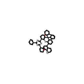 c1ccc(-c2nc(-c3ccccc3)nc(-c3cccc4c3Sc3c(-c5cccc6ncccc56)cccc3C43c4ccccc4-c4ccccc43)n2)cc1